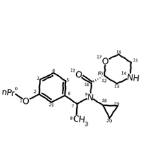 CCCOc1cccc(C(C)N(C(=O)[C@H]2CNCCO2)C2CC2)c1